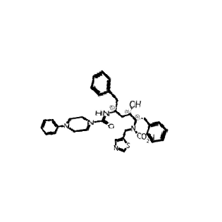 O=C(N[C@@H](Cc1ccccc1)C[C@H](O)[C@H](Cc1ccccc1)N(Cc1cncs1)C(=O)O)N1CCN(c2ccccc2)CC1